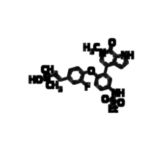 CCS(=O)(=O)Nc1ccc(Oc2ccc(/C=C/[Si](C)(C)O)cc2F)c(-c2cn(C)c(=O)c3[nH]ccc23)c1